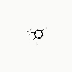 O=S(=O)([O-])c1cc(Br)ccc1Br.[Tl+]